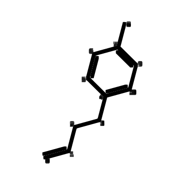 C=CCCc1ccc(C)cc1